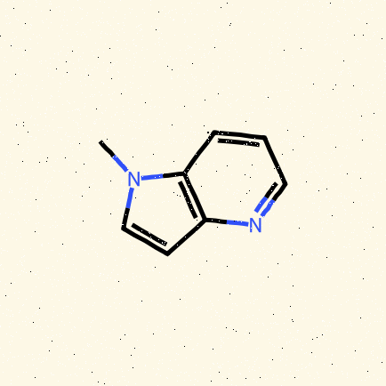 Cn1ccc2ncc[c]c21